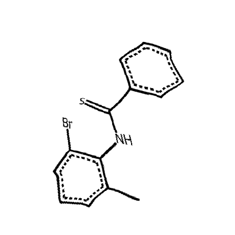 Cc1cccc(Br)c1NC(=S)c1ccccc1